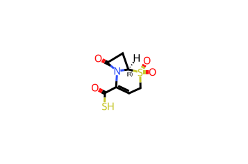 O=C(S)C1=CCS(=O)(=O)[C@@H]2CC(=O)N12